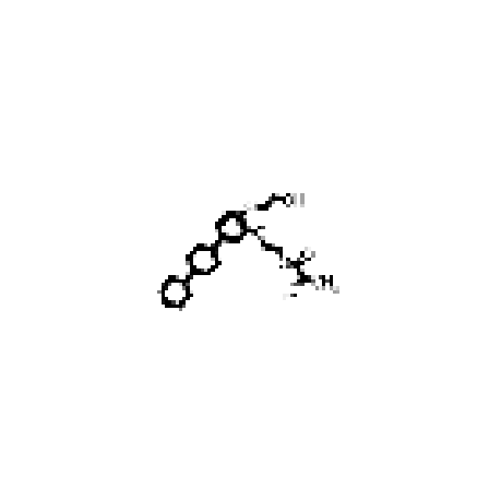 C=C(C)C(=O)OCCOc1cc(C2CCC(C3CCCCC3)CC2)ccc1OCCO